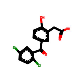 O=C(O)Cc1cc(C(=O)c2cc(Cl)ccc2Cl)ccc1O